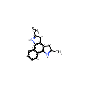 CC1=Nc2c(c3c(c4ccccc24)N=C(C)C3)C1